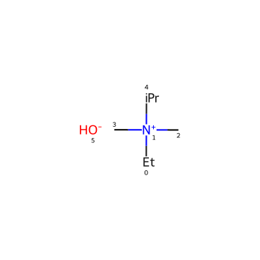 CC[N+](C)(C)C(C)C.[OH-]